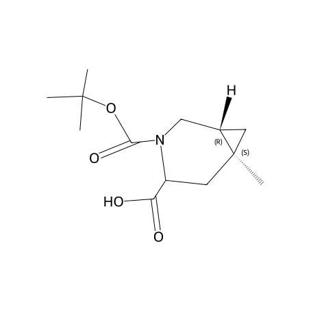 CC(C)(C)OC(=O)N1C[C@@H]2C[C@@]2(C)CC1C(=O)O